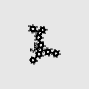 CC1(C)c2cc(-c3ccccc3)ccc2N(c2ccc(-c3ccccc3)cc2)c2ccc(-c3ccc4c(c3)c3ccccc3n4-c3ccccc3)cc21